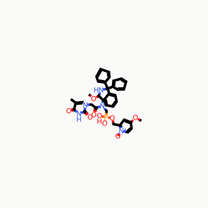 COc1cc[n+]([O-])c(COP(=O)(O)CN(CC(NC(c2ccccc2)(c2ccccc2)c2ccccc2)OC)C(=O)Cn2cc(C)c(=O)[nH]c2=O)c1